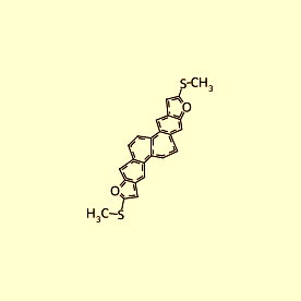 CSc1cc2cc3c(ccc4c5cc6cc(SC)oc6cc5ccc34)cc2o1